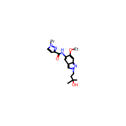 CCOc1cc2nn(CCC(C)(C)O)cc2cc1NC(=O)c1ccn(C(C)C)n1